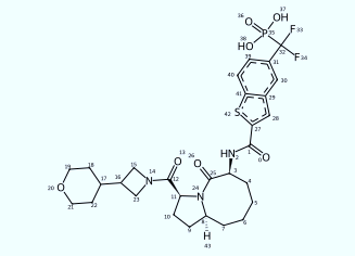 O=C(N[C@H]1CCCC[C@H]2CC[C@@H](C(=O)N3CC(C4CCOCC4)C3)N2C1=O)c1cc2cc(C(F)(F)P(=O)(O)O)ccc2s1